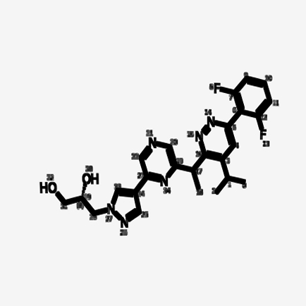 CC(C)c1cc(-c2c(F)cccc2F)nnc1C(C)c1cncc(-c2cnn(C[C@@H](O)CO)c2)n1